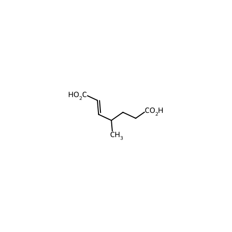 CC(C=CC(=O)O)CCC(=O)O